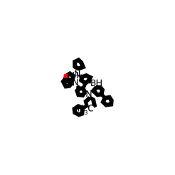 C/C=C\C(=C/Cc1ccccc1)N1c2cc(-c3ccccc3)ccc2Bc2ccc(N(c3ccccc3)c3ccccc3)cc2-c2c(Nc3ccccc3)cccc21